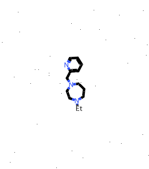 CCN1CCCN(Cc2ccccn2)CC1